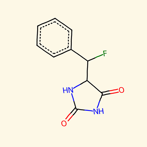 O=C1NC(=O)C(C(F)c2ccccc2)N1